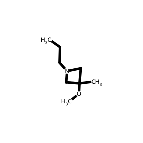 CCCN1CC(C)(OC)C1